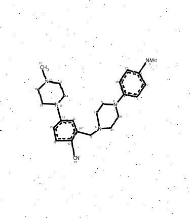 CNc1ccc(N2CCN(Cc3cc(N4CCN(C)CC4)ccc3C#N)CC2)cc1